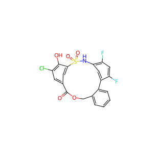 O=C1OCc2ccccc2-c2cc(c(F)cc2F)NS(=O)(=O)c2cc1cc(Cl)c2O